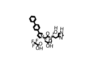 O=C(O)C(F)(F)F.O=C(O)C[C@H](C(=O)N[C@H](CO)Cc1c[nH]cn1)n1ccc(-c2ccc(-c3ccccc3)cc2)c1